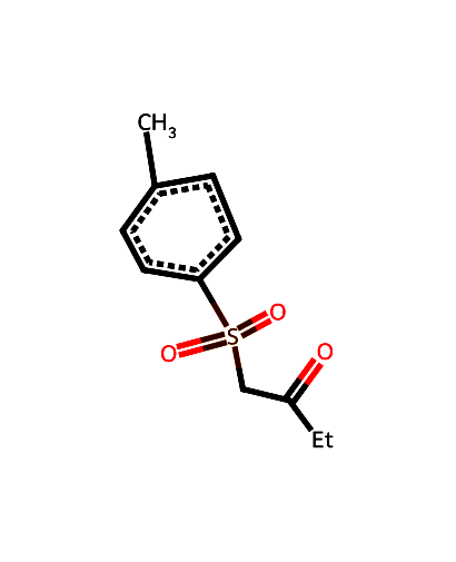 CCC(=O)CS(=O)(=O)c1ccc(C)cc1